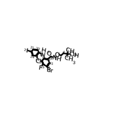 CC(C)(O)CCONC(=O)c1cc(Br)c(F)cc1Nc1ccc(I)cc1Cl